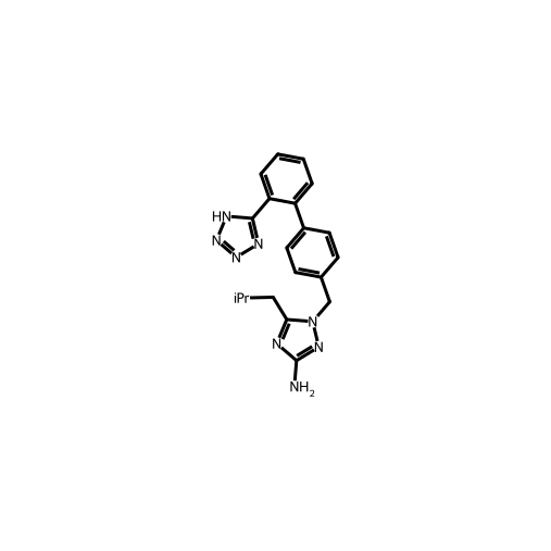 CC(C)Cc1nc(N)nn1Cc1ccc(-c2ccccc2-c2nnn[nH]2)cc1